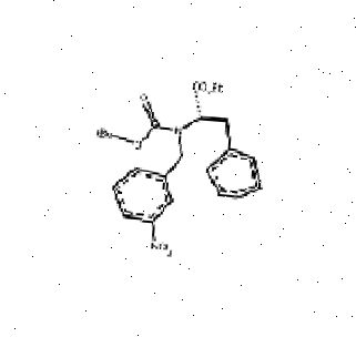 CCOC(=O)[C@H](Cc1ccccc1)N(Cc1cccc([N+](=O)[O-])c1)C(=O)OC(C)(C)C